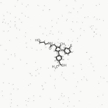 Cc1c(CC(=O)NCCCO)cc(-c2ccc([C@@H](C)O)cc2)n1-c1cccc(F)c1